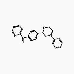 c1ccc(N2CCO[C@@H](c3ccc(Nc4ccccn4)cc3)C2)cc1